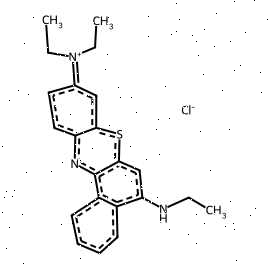 CCNc1cc2sc3cc(=[N+](CC)CC)ccc-3nc2c2ccccc12.[Cl-]